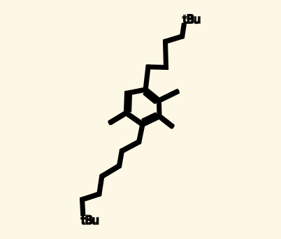 Cc1cc(CCCCC(C)(C)C)c(C)c(C)c1CCCCCCC(C)(C)C